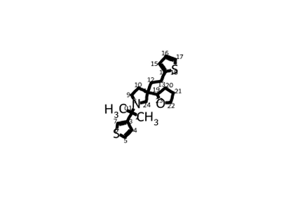 CC(C)(c1ccsc1)N1CCC(CCc2cccs2)(C2CCCO2)C1